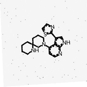 c1csc(-c2c[nH]c3nccc(N4CCCC5(CCCCN5)C4)c23)n1